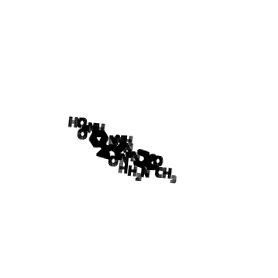 C[C@@H]1OCC2(CCN(c3nc4[nH]nc(C5(c6ccc(NC(=O)O)cc6)CC5)c4c(=O)[nH]3)CC2)[C@@H]1N